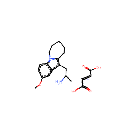 COc1ccc2c(c1)c(CC(C)N)c1n2CCCCC1.O=C(O)/C=C/C(=O)O